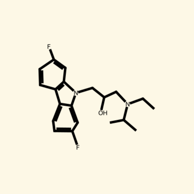 CCN(CC(O)Cn1c2cc(F)ccc2c2ccc(F)cc21)C(C)C